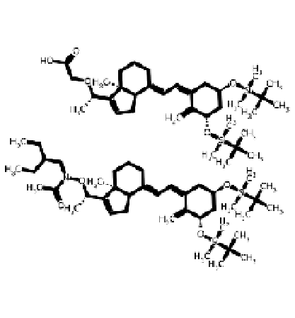 C=C1C(=CC=C2CCC[C@]3(C)C([C@H](C)OCC(=O)O)=CCC23)C[C@@H](O[Si](C)(C)C(C)(C)C)C[C@@H]1O[Si](C)(C)C(C)(C)C.C=C1C(=CC=C2CCC[C@]3(C)C([C@H](C)ON(CC(CC)CC)C(C)=O)=CCC23)C[C@@H](O[Si](C)(C)C(C)(C)C)C[C@@H]1O[Si](C)(C)C(C)(C)C